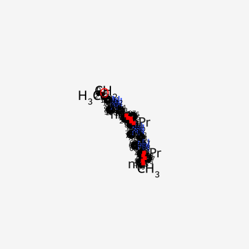 C=C(C)C(=O)Cc1ccc(-c2nnc(-c3ccc(-c4ccc5c(c4)C4(c6cc(-c7nnc(-c8ccc(-c9nnc(-c%10ccc%11c(c%10)C%10(c%12cc(C)ccc%12-%11)C%11(CCC)CCCC%10(CCC)CCC%11)n9-c9ccccc9)cc8)n7-c7ccccc7)ccc6-5)C5(CCC)CCCC4(CCC)CCC5)cc3)n2-c2ccccc2)cc1